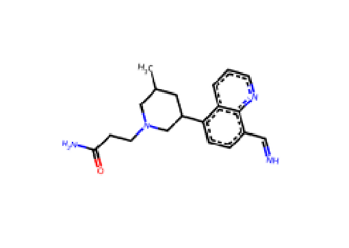 CC1CC(c2ccc(C=N)c3ncccc23)CN(CCC(N)=O)C1